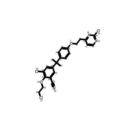 CC(C)(c1ccc(OCCc2ccnc(Cl)n2)cc1)c1cc(Cl)c(OCCCl)c(C#N)c1